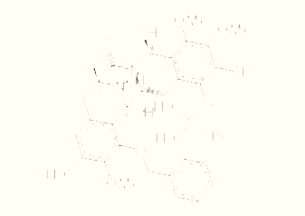 COc1c(C)cc2c(c1OCc1ccccc1)[C@@H]1C3=Cc4c(O[Si](C)(C)C(C)(C)C)c(C)c(OC)c(OC)c4[C@H](C=O)N3C(=O)[C@@H](C2)N1C